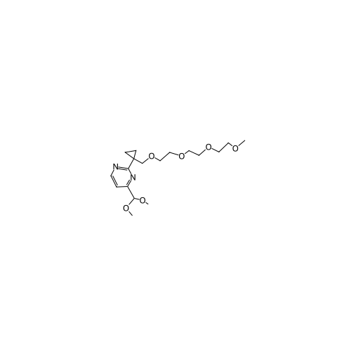 COCCOCCOCCOCC1(c2nccc(C(OC)OC)n2)CC1